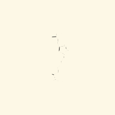 CC(=O)CCc1cn(CCOCCC(=O)C(C)C)nn1